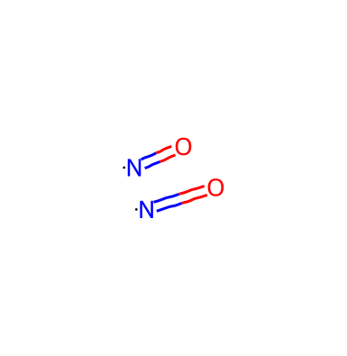 [N]=O.[N]=O